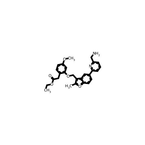 CCOC(=O)Cc1ccc(OC)cc1OCc1c(C)oc2ccc(-c3cccc(CN)n3)cc12